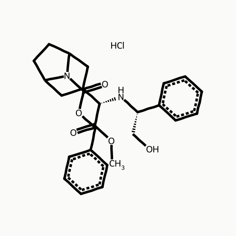 COC(=O)[C@@H](N[C@@H](CO)c1ccccc1)C1CC2CCC(C1)N2C(=O)OCc1ccccc1.Cl